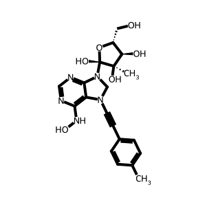 Cc1ccc(C#CN2CN([C@]3(O)O[C@H](CO)[C@@H](O)[C@@]3(C)O)c3ncnc(NO)c32)cc1